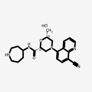 C[C@@H]1CN(c2ccc(C#N)c3ncccc23)C[C@H](C(=O)NC2CCCNCC2)O1.Cl